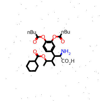 CCCCC(=O)Oc1ccc(C(C(C)C(C)OC(=O)C2CCCCC2)[C@H](N)C(=O)O)cc1OC(=O)CCCC